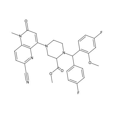 COC(=O)C1CN(c2cc(=O)n(C)c3ccc(C#N)nc23)CCN1C(c1ccc(F)cc1)c1ccc(F)cc1OC